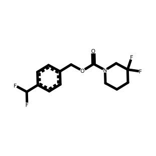 O=C(OCc1ccc(C(F)F)cc1)N1CCCC(F)(F)C1